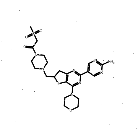 CS(=O)(=O)CC(=O)N1CCN(CC2Cc3nc(-c4cnc(N)nc4)nc(N4CCOCC4)c3S2)CC1